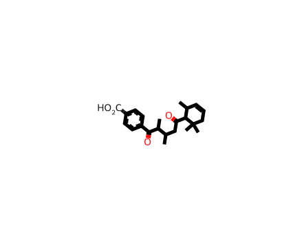 CC1C=CCC(C)(C)C1C(=O)CC(C)C(C)C(=O)c1ccc(C(=O)O)cc1